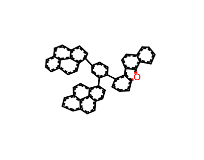 c1ccc2c(c1)ccc1c2oc2cccc(-c3ccc(-c4ccc5ccc6cccc7ccc4c5c67)cc3-c3ccc4ccc5cccc6ccc3c4c56)c21